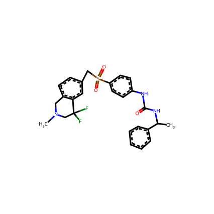 CC(NC(=O)Nc1ccc(S(=O)(=O)Cc2ccc3c(c2)C(F)(F)CN(C)C3)cc1)c1ccccc1